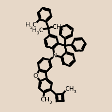 CC1=CC=C1c1cc2c(cc1C)oc1ccc(N3c4ccccc4C(c4ccccc4)(c4ccccc4)c4cc(C(C)(C)c5ccccc5C)ccc43)cc12